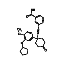 COc1ccc(C2(C#Cc3cccc(C(=O)O)c3)CCC(=O)CC2)cc1OC1CCCC1